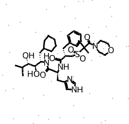 CC(C)[C@H](O)[C@H](O)[C@H](CC1CCCCC1)NC(=O)[C@H](Cc1c[nH]cn1)NC(=O)[C@H](Cc1ccccc1)CS(=O)(=O)C(C)(C)C(=O)N1CCOCC1